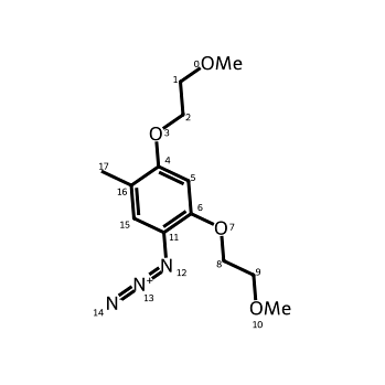 COCCOc1cc(OCCOC)c(N=[N+]=[N-])cc1C